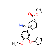 COC(=O)[C@@H]1CCC[C@@](C#N)(c2ccc(OC)c(OC3CCCC3)c2)C1